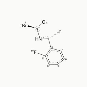 C[C@@H](N[S@+]([O-])C(C)(C)C)c1ccccc1F